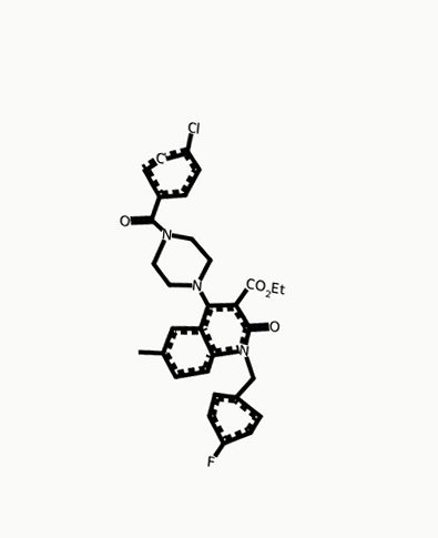 CCOC(=O)c1c(N2CCN(C(=O)c3ccc(Cl)cc3)CC2)c2cc(C)ccc2n(Cc2ccc(F)cc2)c1=O